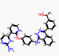 C[C@H](O)c1cccc(-c2nnc(Nc3ccc(Oc4ncccc4-c4ccnc(N)n4)cc3)c3ccccc23)c1